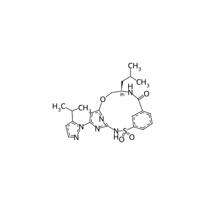 CC(C)C[C@@H]1COc2cc(-n3nccc3C(C)C)nc(n2)NS(=O)(=O)c2cccc(c2)C(=O)N1